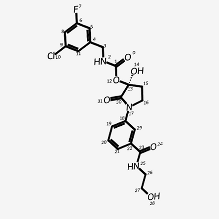 O=C(NCc1cc(F)cc(Cl)c1)O[C@@]1(O)CCN(c2cccc(C(=O)NCCO)c2)C1=O